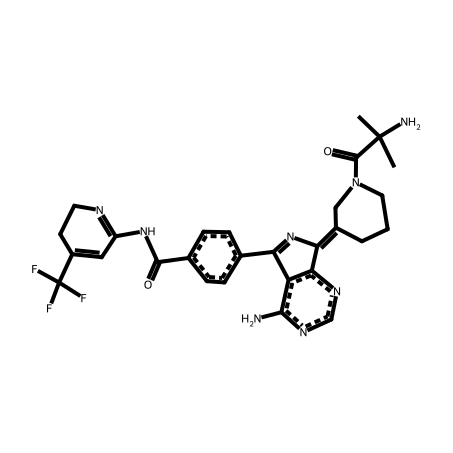 CC(C)(N)C(=O)N1CCC/C(=C2/N=C(c3ccc(C(=O)NC4=NCCC(C(F)(F)F)=C4)cc3)c3c(N)ncnc32)C1